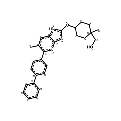 Cc1cc2[nH]c(OC3CCC(C)(CO)CC3)nc2nc1-c1ccc(-c2ccccc2)cc1